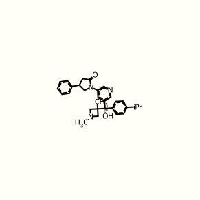 CC(C)c1ccc([C@](O)(c2cncc(N3CC(c4ccccc4)CC3=O)c2)C2(C)CN(C)C2)cc1